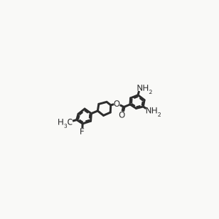 Cc1ccc(C2CCC(OC(=O)c3cc(N)cc(N)c3)CC2)cc1F